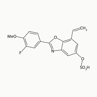 C=Cc1cc(OS(=O)(=O)O)cc2nc(-c3ccc(OC)c(F)c3)oc12